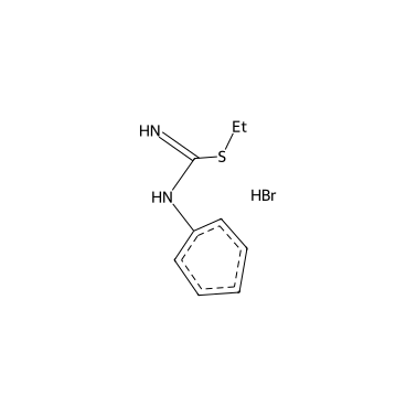 Br.CCSC(=N)Nc1ccccc1